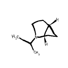 CC(C)N1CC[C@@H]2C[C@@H]21